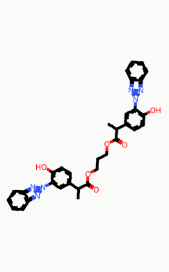 CC(C(=O)OCCCOC(=O)C(C)c1ccc(O)c(-n2n3c4ccccc4n23)c1)c1ccc(O)c(-n2n3c4ccccc4n23)c1